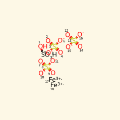 O=S(=O)(O)O.O=S(=O)([O-])[O-].O=S(=O)([O-])[O-].O=S(=O)([O-])[O-].[Fe+3].[Fe+3]